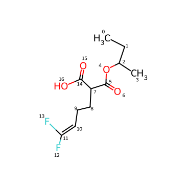 CCC(C)OC(=O)C(CCC=C(F)F)C(=O)O